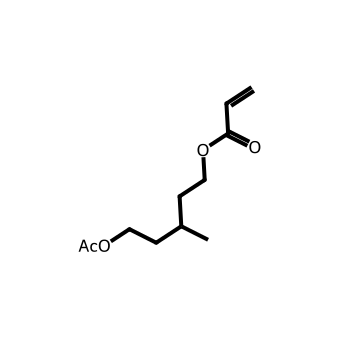 C=CC(=O)OCCC(C)CCOC(C)=O